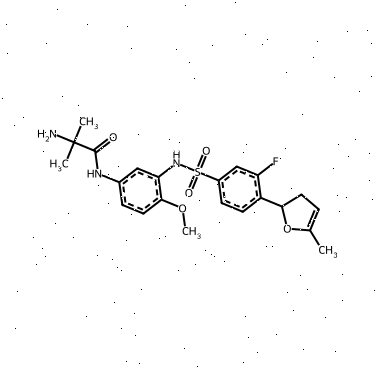 COc1ccc(NC(=O)C(C)(C)N)cc1NS(=O)(=O)c1ccc(C2CC=C(C)O2)c(F)c1